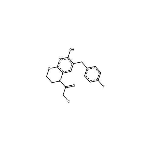 O=C(CCl)N1CCOc2nc(O)c(Cc3ccc(F)cc3)cc21